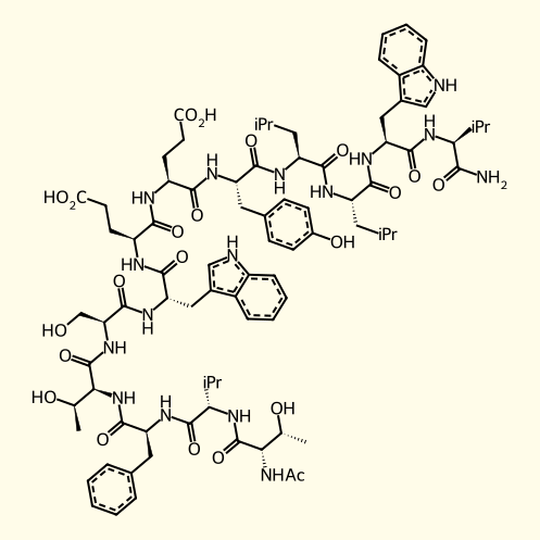 CC(=O)N[C@H](C(=O)N[C@H](C(=O)N[C@@H](Cc1ccccc1)C(=O)N[C@H](C(=O)N[C@@H](CO)C(=O)N[C@@H](Cc1c[nH]c2ccccc12)C(=O)N[C@@H](CCC(=O)O)C(=O)N[C@@H](CCC(=O)O)C(=O)N[C@@H](Cc1ccc(O)cc1)C(=O)N[C@@H](CC(C)C)C(=O)N[C@@H](CC(C)C)C(=O)N[C@@H](Cc1c[nH]c2ccccc12)C(=O)N[C@H](C(N)=O)C(C)C)[C@@H](C)O)C(C)C)[C@@H](C)O